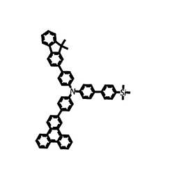 CC1(C)c2ccccc2-c2ccc(-c3ccc(N(c4ccc(-c5ccc([Si](C)(C)C)cc5)cc4)c4ccc(-c5ccc6c7ccccc7c7ccccc7c6c5)cc4)cc3)cc21